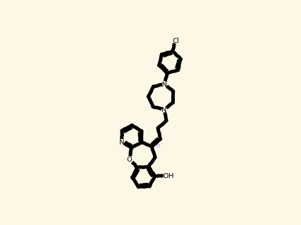 Oc1cccc2c1C/C(=C/CCN1CCCN(c3ccc(Cl)cc3)CC1)c1cccnc1O2